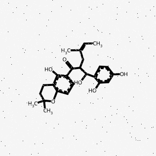 C/C=C(/C)CC(C(=O)c1ccc2c(c1O)CCC(C)(C)O2)C(O)c1ccc(O)cc1O